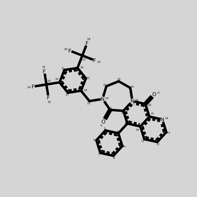 O=C1c2c(-c3ccccc3)c3cccnc3c(=O)n2CCCN1Cc1cc(C(F)(F)F)cc(C(F)(F)F)c1